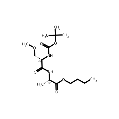 CCCCOC(=O)[C@H](C)NC(=O)[C@H](COC)NC(=O)OC(C)(C)C